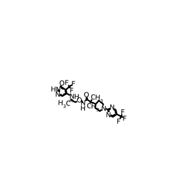 C[C@@H](CONC(=O)C(C)(C)C1CCN(c2ncc(C(F)(F)F)cn2)CC1)Nc1cn[nH]c(=O)c1C(F)(F)F